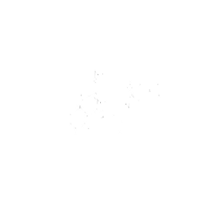 CC1CN(C(=O)OC(C)(C)C)CC1Oc1nc(C#N)cc2ccccc12